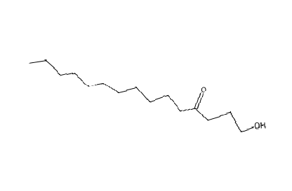 CCCCCCCCCCCC(=O)CCCO